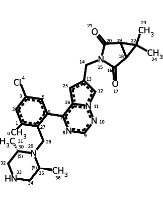 Cc1cc(Cl)cc(-c2ncnn3cc(CN4C(=O)C5C(C4=O)C5(C)C)cc23)c1CN1[C@@H](C)CNC[C@@H]1C